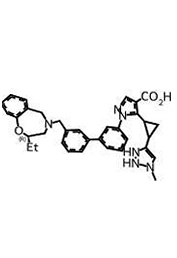 CC[C@@H]1CN(Cc2cccc(-c3cccc(-n4ncc(C(=O)O)c4C4CC4C4=CN(C)NN4)c3)c2)Cc2ccccc2O1